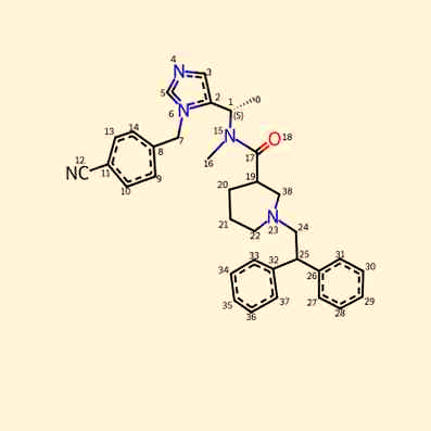 C[C@@H](c1cncn1Cc1ccc(C#N)cc1)N(C)C(=O)C1CCCN(CC(c2ccccc2)c2ccccc2)C1